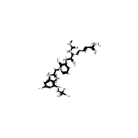 COC(=O)N[C@@H](CC/C=C/C(N)=O)C(=O)Nc1cccn(Cc2nc3c(OCC(F)(F)F)cc(F)cc3[nH]2)c1=O